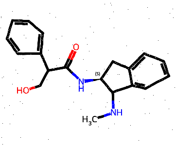 CNC1c2ccccc2C[C@@H]1NC(=O)C(CO)c1ccccc1